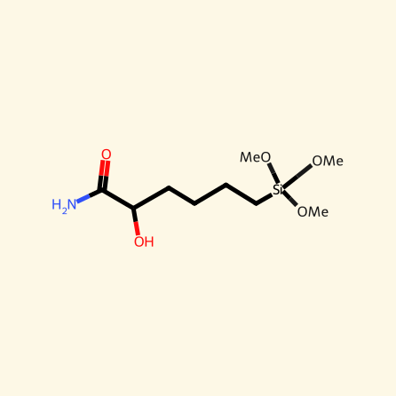 CO[Si](CCCCC(O)C(N)=O)(OC)OC